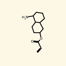 C=CC(=O)OC1CCC2C(N)CCCC2C1